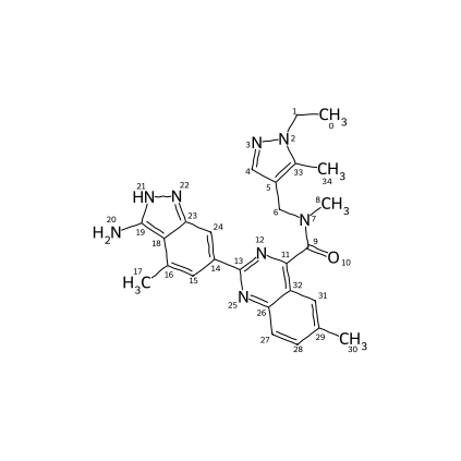 CCn1ncc(CN(C)C(=O)c2nc(-c3cc(C)c4c(N)[nH]nc4c3)nc3ccc(C)cc23)c1C